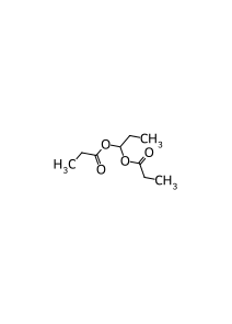 CCC(=O)OC(CC)OC(=O)CC